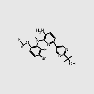 CN(c1nc(-c2cnc(C(C)(C)O)nc2)ccc1N)c1c(OC(F)F)ccc(Br)c1F